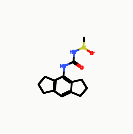 C[S+]([O-])NC(=O)Nc1c2c(cc3c1CCC3)CCC2